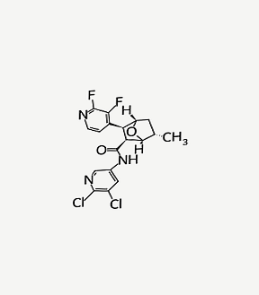 C[C@H]1C[C@@H]2O[C@H]1[C@@H](C(=O)Nc1cnc(Cl)c(Cl)c1)[C@H]2c1ccnc(F)c1F